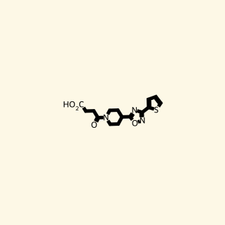 O=C(O)CCC(=O)N1CCC(c2nc(-c3cccs3)no2)CC1